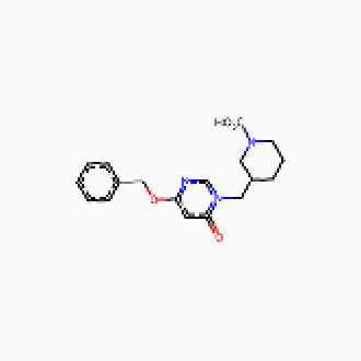 O=C(O)N1CCCC(Cn2cnc(OCc3ccccc3)cc2=O)C1